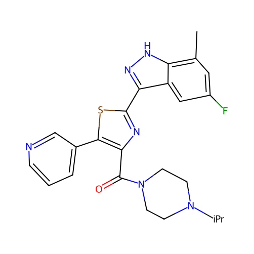 Cc1cc(F)cc2c(-c3nc(C(=O)N4CCN(C(C)C)CC4)c(-c4cccnc4)s3)n[nH]c12